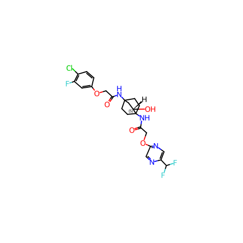 O=C(COc1ccc(Cl)c(F)c1)NC12CCC(NC(=O)COc3cnc(C(F)F)cn3)(CC1)[C@@H](O)C2